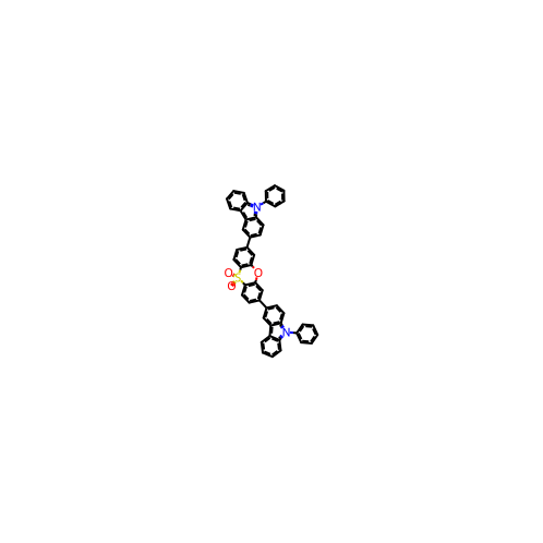 O=S1(=O)c2ccc(-c3ccc4c(c3)c3ccccc3n4-c3ccccc3)cc2Oc2cc(-c3ccc4c(c3)c3ccccc3n4-c3ccccc3)ccc21